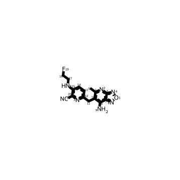 Cc1nc2nonc2c(N)c1Cc1ccc(NCCF)c(C#N)n1